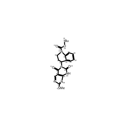 CSc1ncc2c(=O)n(C3CCN(C(=O)OC(C)(C)C)c4ccccc43)c(=O)[nH]c2n1